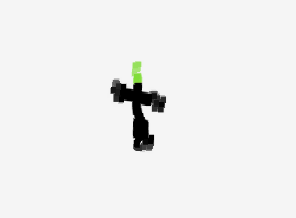 [2H]C([2H])(F)C#C